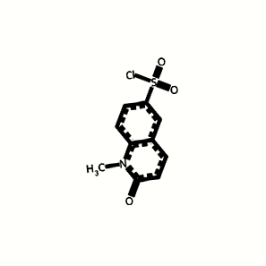 Cn1c(=O)ccc2cc(S(=O)(=O)Cl)ccc21